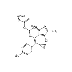 CCCCCOC(=O)OC(C)O/C(=C(\c1ccc(C(C)(C)C)cc1)C1C=N1)c1c(Cl)c(C)nn1C